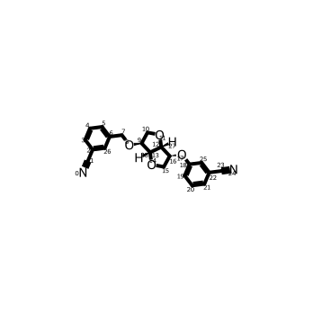 N#Cc1cccc(CO[C@H]2CO[C@H]3[C@@H]2OC[C@H]3Oc2cccc(C#N)c2)c1